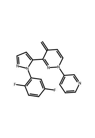 C=C1C=CN(c2cccnc2)N=C1c1ccnn1-c1cc(F)ccc1F